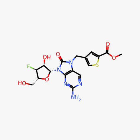 COC(=O)c1cc(Cn2c(=O)n([C@@H]3O[C@H](CO)[C@@H](F)[C@H]3O)c3nc(N)ncc32)cs1